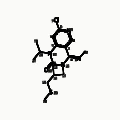 C/N=C(\c1cnc(Cl)cc1N(C=O)C(C)C)N1CC(CSC)C1